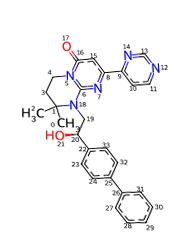 CC1(C)CCn2c(nc(-c3ccncn3)cc2=O)N1C[C@H](O)c1ccc(-c2ccccc2)cc1